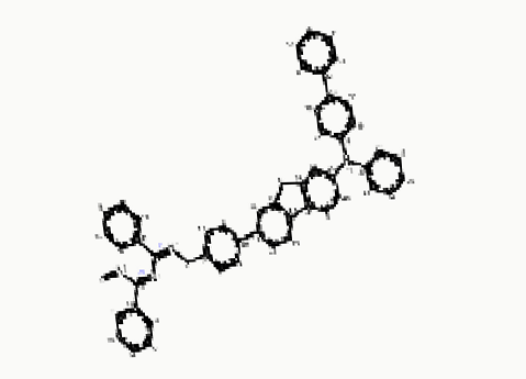 C=N/C(=N\C(=N/Cc1ccc(-c2ccc3c(c2)Cc2cc(N(c4ccccc4)c4ccc(-c5ccccc5)cc4)ccc2-3)cc1)c1ccccc1)c1ccccc1